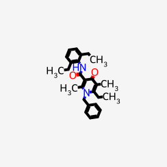 CCc1cccc(CC)c1NC(=O)c1c(C)n(Cc2ccccc2)c(CC)c(C)c1=O